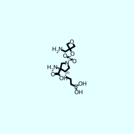 NCC1(OS(=O)(=O)N2C[C@H](CCCB(O)O)[C@](N)(C(=O)O)C2)COC1